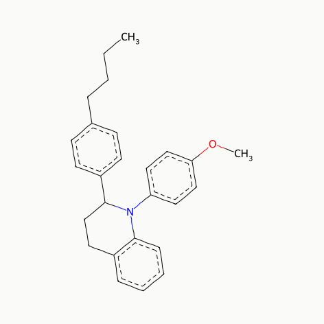 CCCCc1ccc(C2CCc3ccccc3N2c2ccc(OC)cc2)cc1